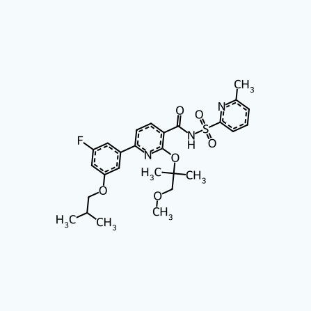 COCC(C)(C)Oc1nc(-c2cc(F)cc(OCC(C)C)c2)ccc1C(=O)NS(=O)(=O)c1cccc(C)n1